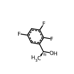 C[C@H](O)c1cc(F)cc(F)c1F